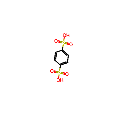 O=S(=O)(O)c1[c]cc(S(=O)(=O)O)c[c]1